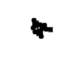 N#Cc1cccc(-c2cccc(-c3ccc(-c4nc(-c5ccccc5)nc(-c5ccccc5)n4)cc3)c2-c2ccc(-c3nc(-c4ccccc4)nc(-c4ccccc4)n3)cc2)c1